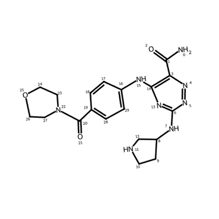 NC(=O)c1nnc(NC2CCNC2)nc1Nc1ccc(C(=O)N2CCOCC2)cc1